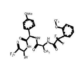 COc1ccc(C(NC(=O)C(C)NC(=O)C(F)(F)c2ccccc2OC(F)(F)F)C(=O)NC(C(=O)C(F)(F)F)C(C)C)cc1